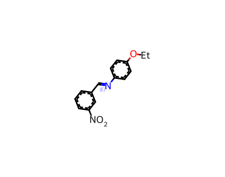 CCOc1ccc(/N=C/c2cccc([N+](=O)[O-])c2)cc1